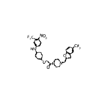 O=C(COC1CCC(Nc2ccc([N+](=O)[O-])c(C(F)(F)F)c2)CC1)N1CCN(CC2Cc3cc(C(F)(F)F)ccc3O2)CC1